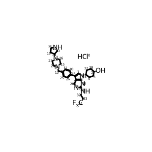 Cl.O[C@H]1CC[C@H](n2cc(-c3ccc(CN4CCN(C5CCNC5)CC4)cc3)c3cnc(NCCC(F)(F)F)nc32)CC1